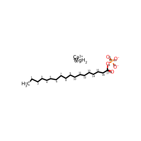 CCCCCCCCCCCCCCCCCC(=O)OP(=O)([O-])[O-].[Ca+2].[MgH2]